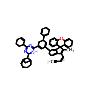 C#C/C=C\C1=C(C)C2(C3=CCCC=C3Oc3ccccc32)C2=CC(C3=CC(C4=CCCC=C4)CC(C4=NC(C5C=CCCC5)=NC(C5C6=CCCCC5C6)N4)=C3)CCC=C21